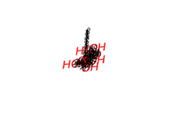 CCCCCCCCCCCCCCCC(=O)OC(CCC(C)(C)O)[C@](C)(O)[C@H]1CC[C@@]2(O)C3=CC(=O)[C@@H]4C[C@@H](O)[C@@H](O)C[C@]4(C)[C@H]3CC[C@]12C